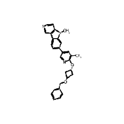 Cn1c2ccncc2c2ccc(-c3cnc(O[C@H]4C[C@@H](OCc5ccccc5)C4)c(C(F)(F)F)c3)cc21